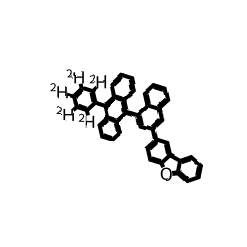 [2H]c1c([2H])c([2H])c(-c2c3ccccc3c(-c3cc(-c4ccc5oc6ccccc6c5c4)cc4ccccc34)c3ccccc23)c([2H])c1[2H]